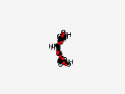 Cn1c(=O)n(C2CCC(=O)NC2=O)c2ccc(C3CCN(CCN/C=C(\C=N)c4ccc5c(F)c(N6CC(=O)NS6(=O)=O)c(O)cc5c4)CC3)cc21